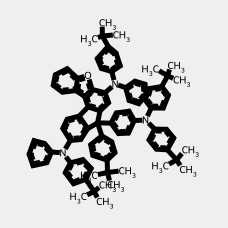 CC(C)(C)c1ccc(N(c2ccc(C(C)(C)C)cc2)c2ccc(C3(c4ccc(C(C)(C)C)cc4)c4cc(N(c5ccccc5)c5ccc(C(C)(C)C)cc5)ccc4-c4c3cc(N(c3ccccc3)c3ccc(C(C)(C)C)cc3)c3oc5ccccc5c43)cc2)cc1